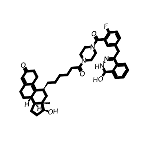 C[C@]12C[C@H](CCCCCC(=O)N3CCN(C(=O)c4cc(CC5=NNC(O)c6ccccc65)ccc4F)CC3)C3=C4CCC(=O)C=C4CC[C@H]3[C@@H]1CC[C@@H]2O